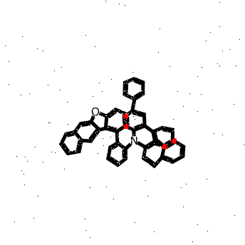 c1ccc(-c2ccc(N(c3ccc4ccccc4c3)c3ccccc3-c3cccc4oc5cc6ccccc6cc5c34)c(-c3ccccc3)c2)cc1